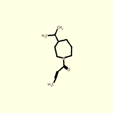 CC=CC(=O)N1CCCC(C(C)C)CC1